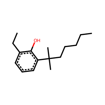 CCCCCC(C)(C)c1cccc(CC)c1O